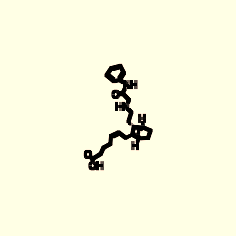 O=C(O)CCC/C=C\C[C@H]1[C@H](CCNCC(=O)Nc2ccccc2)[C@@H]2CC[C@H]1O2